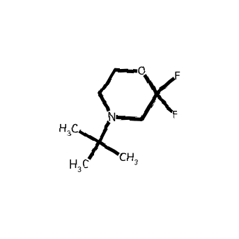 CC(C)(C)N1CCOC(F)(F)C1